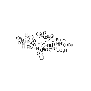 CC(O)C(NC(=O)C(CCNC(=O)OC(C)(C)C)NC(=O)CN(CC(=O)NC(CCNC(=O)OC(C)(C)C)C(=O)NC(C(=O)NC(CCNC(=O)OC(C)(C)C)C(=O)O)C(C)O)C(=O)OCc1ccccc1)C(=O)NC(CCNC(=O)OC(C)(C)C)C(=O)O